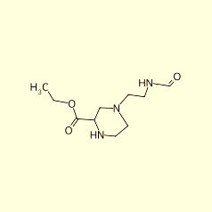 CCOC(=O)C1CN(CCNC=O)CCN1